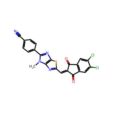 Cn1c(-c2ccc(C#N)cc2)nc2sc(C=C3C(=O)c4cc(Cl)c(Cl)cc4C3=O)nc21